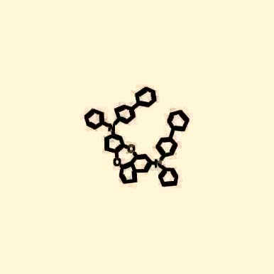 c1ccc(-c2ccc(N(c3ccccc3)c3ccc4c(c3)Oc3cc(N(c5ccccc5)c5ccc(-c6ccccc6)cc5)cc5cccc(c35)O4)cc2)cc1